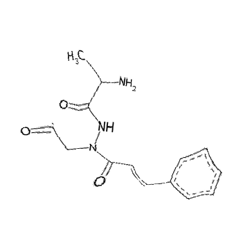 CC(N)C(=O)NN(C[C]=O)C(=O)/C=C/c1ccccc1